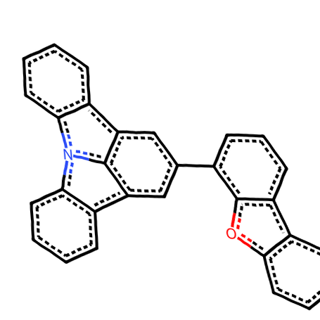 c1ccc2c(c1)oc1c(-c3cc4c5ccccc5n5c6ccccc6c(c3)c45)cccc12